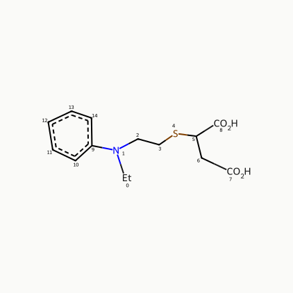 CCN(CCSC(CC(=O)O)C(=O)O)c1ccccc1